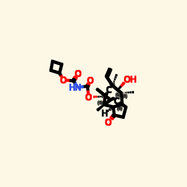 C=C[C@]1(C)C[C@@H](OC(=O)NC(=O)OC2CCC2)[C@]2(C)C(C)CC[C@]3(CCC(=O)[C@H]32)[C@@H](C)[C@@H]1O